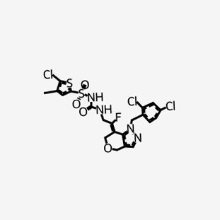 Cc1cc(S(=O)(=O)NC(=O)NCC(F)=C2COCc3cnn(Cc4ccc(Cl)cc4Cl)c32)sc1Cl